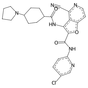 N#Cc1nccc2oc(C(=O)Nc3ccc(Cl)cn3)c(NC(=O)C3CCC(N4CCCC4)CC3)c12